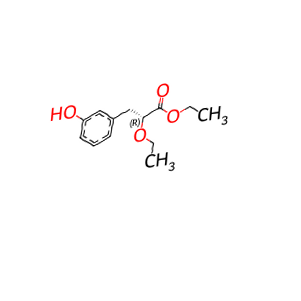 CCOC(=O)[C@@H](Cc1cccc(O)c1)OCC